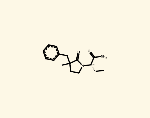 CC[C@@H](C(N)=O)N1CCC(C)(Cc2ccccc2)C1=O